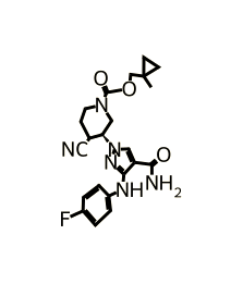 CC1(COC(=O)N2CCC(C#N)[C@H](n3cc(C(N)=O)c(Nc4ccc(F)cc4)n3)C2)CC1